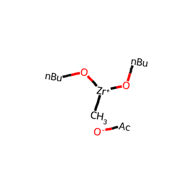 CC(=O)[O-].CCCC[O][Zr+]([CH3])[O]CCCC